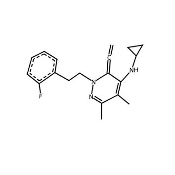 C=C=C1C(NC2CC2)=C(C)C(C)=NN1CCc1ccccc1F